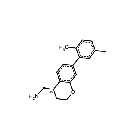 Cc1ccc(F)cc1-c1ccc2c(c1)OCC[C@H]2CN